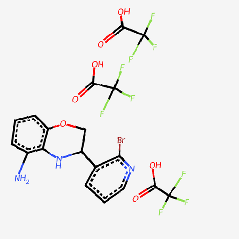 Nc1cccc2c1NC(c1cccnc1Br)CO2.O=C(O)C(F)(F)F.O=C(O)C(F)(F)F.O=C(O)C(F)(F)F